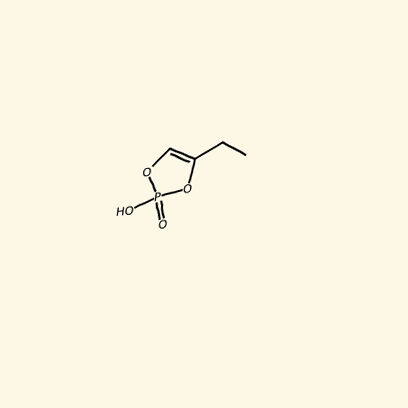 CCC1=COP(=O)(O)O1